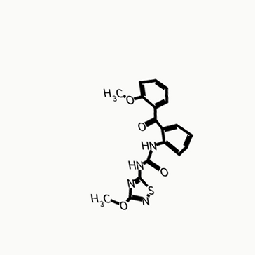 COc1nsc(NC(=O)Nc2ccccc2C(=O)c2ccccc2OC)n1